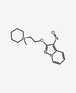 C[N+]1(CCOc2nn3ccccc3c2N=O)CCCCC1